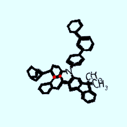 CC1(C)c2ccccc2-c2cc(-c3ccc4ccccc4c3)c(N(c3ccc(-c4cccc(C5CCCCC5)c4)cc3)c3ccc(C4CC5CCC4C5)cc3)cc21